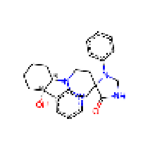 O=C1NCN(c2ccccc2)C12CCN([C@@H]1CCCC[C@]1(O)c1cccnc1)CC2